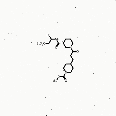 CCOC(=O)CC(CC)NC(=O)[C@@H]1CCCN(C(=O)CCC2CCN(C(=O)OC(C)(C)C)CC2)C1